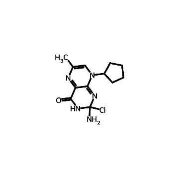 CC1=CN(C2CCCC2)C2=NC(N)(Cl)NC(=O)C2=N1